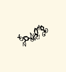 COC(=O)C1CCN(Cc2ccc(-c3noc(-c4ccc(OC(C)C)c(C#N)c4)n3)c(Cl)c2)C1